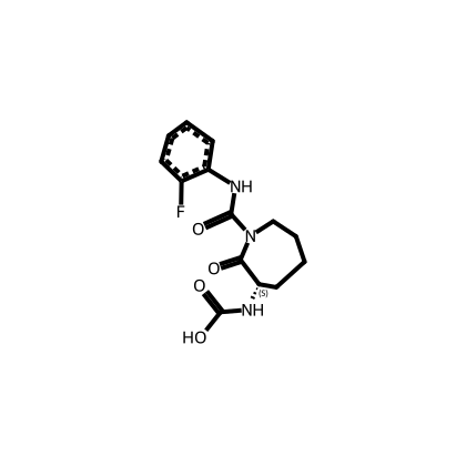 O=C(O)N[C@H]1CCCCN(C(=O)Nc2ccccc2F)C1=O